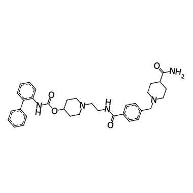 NC(=O)C1CCN(Cc2ccc(C(=O)NCCN3CCC(OC(=O)Nc4ccccc4-c4ccccc4)CC3)cc2)CC1